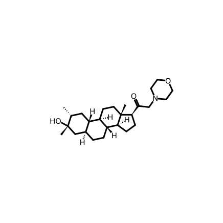 C[C@@H]1C[C@H]2[C@@H](CC[C@@H]3[C@@H]2CC[C@]2(C)[C@@H](C(=O)CN4CCOCC4)CC[C@@H]32)C[C@]1(C)O